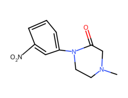 CN1CCN(c2cccc([N+](=O)[O-])c2)C(=O)C1